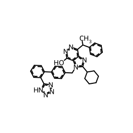 CC(c1ccccc1)c1nnc(O)c2c1nc(C1CCCCC1)n2Cc1ccc(-c2ccccc2-c2nnn[nH]2)cc1